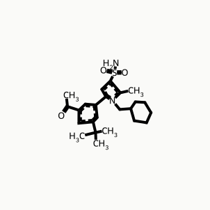 CC(=O)c1cc(-c2cc(S(N)(=O)=O)c(C)n2CC2CCCCC2)cc(C(C)(C)C)c1